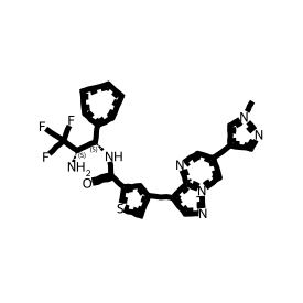 Cn1cc(-c2cnc3c(-c4csc(C(=O)N[C@@H](c5ccccc5)[C@H](N)C(F)(F)F)c4)cnn3c2)cn1